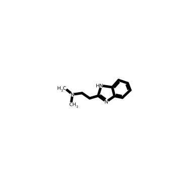 CN(C)CCc1nc2ccccc2[nH]1